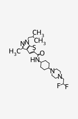 Cc1nn(CC(C)C)c2sc(C(=O)NC3CCC(N4CCN(CC(F)F)CC4)CC3)cc12